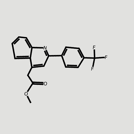 COC(=O)Cc1cc(-c2ccc(C(F)(F)F)cc2)nc2ccccc12